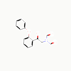 O=CN(C=O)CC(=O)c1ccccc1Oc1ccccc1